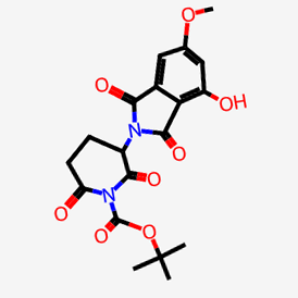 COc1cc(O)c2c(c1)C(=O)N(C1CCC(=O)N(C(=O)OC(C)(C)C)C1=O)C2=O